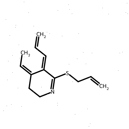 C=C/C=C1/C(SCC=C)=NCC/C1=C/C